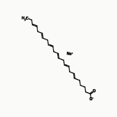 CCC=CCC=CCC=CCC=CCC=CCC=CCCCCC(=O)[O-].[Na+]